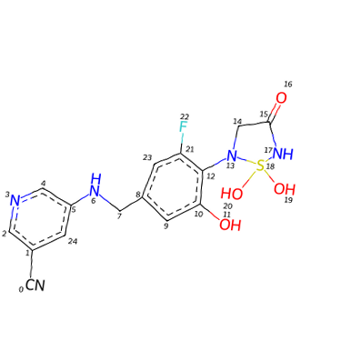 N#Cc1cncc(NCc2cc(O)c(N3CC(=O)NS3(O)O)c(F)c2)c1